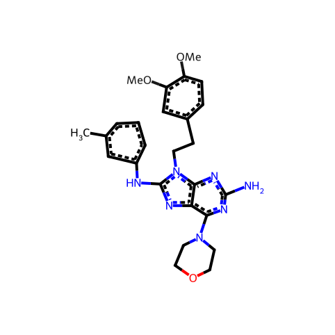 COc1ccc(CCn2c(Nc3cccc(C)c3)nc3c(N4CCOCC4)nc(N)nc32)cc1OC